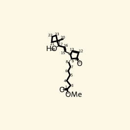 COC(=O)CCCCCC[C@H]1C(=O)C=C[C@@H]1/C=C/[C@H](O)C1(C)CCC1